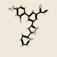 C=CC(=O)c1cc(C2=NOC(c3ccccn3)C2)cc(-c2ccc(N)cc2F)c1